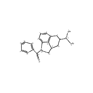 CCCN(CCC)C1Cc2cccc3c2C(C1)CN3C(=O)c1ccccc1